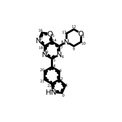 c1cc2cc(-c3nc(N4CCOCC4)c4ocnc4n3)ccc2[nH]1